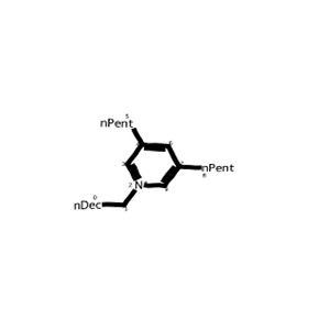 CCCCCCCCCCC[n+]1cc(CCCCC)cc(CCCCC)c1